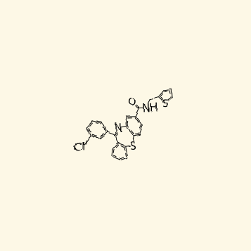 O=C(NCc1cccs1)c1ccc2c(c1)N=C(c1cccc(Cl)c1)c1ccccc1S2